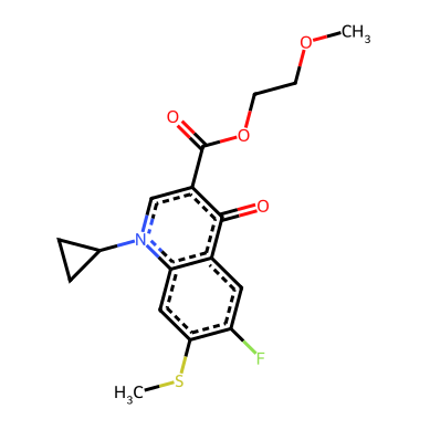 COCCOC(=O)c1cn(C2CC2)c2cc(SC)c(F)cc2c1=O